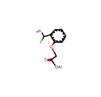 CCCC(F)c1ccccc1OCC(=O)OC(C)=O